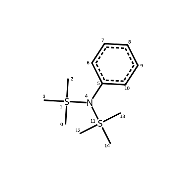 CS(C)(C)N(c1ccccc1)S(C)(C)C